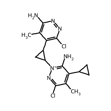 Cc1c(Cl)n[n+](C2CC2c2c(Cl)nnc(N)c2C)c(N)c1C1CC1